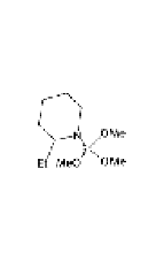 CCC1CCCCN1[Si](OC)(OC)OC